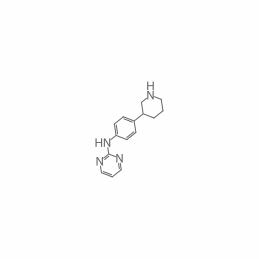 c1cnc(Nc2ccc(C3CCCNC3)cc2)nc1